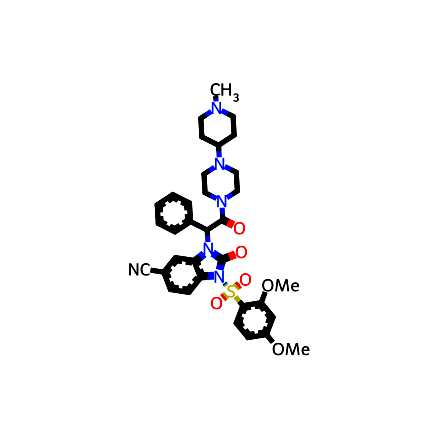 COc1ccc(S(=O)(=O)n2c(=O)n(C(C(=O)N3CCN(C4CCN(C)CC4)CC3)c3ccccc3)c3cc(C#N)ccc32)c(OC)c1